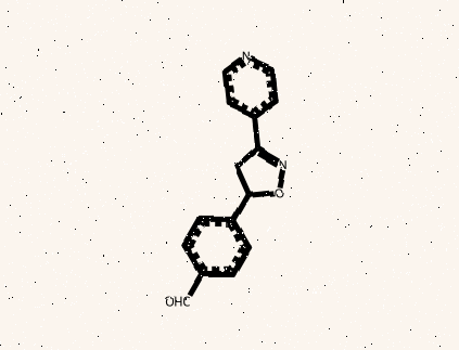 O=Cc1ccc(C2CC(c3ccncc3)=NO2)cc1